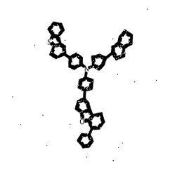 c1ccc(-c2cccc3c2oc2ccc(-c4ccc(N(c5ccc(-c6ccc7ccccc7c6)cc5)c5ccc(-c6ccc7sc8ccccc8c7c6)cc5)cc4)cc23)cc1